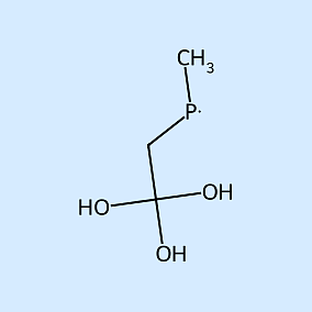 C[P]CC(O)(O)O